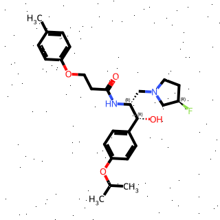 Cc1ccc(OCCC(=O)N[C@H](CN2CC[C@@H](F)C2)[C@H](O)c2ccc(OC(C)C)cc2)cc1